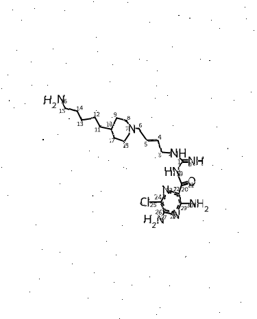 N=C(NCCCCN1CCC(CCCCCN)CC1)NC(=O)c1nc(Cl)c(N)nc1N